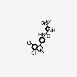 CN1Cc2c(Cl)cc(Cl)cc2C(c2ccc(NC(=O)c3cc([N+](=O)[O-])c[nH]3)cc2)C1